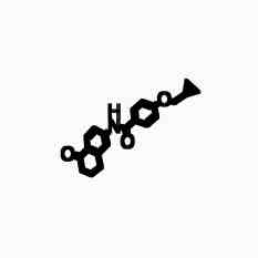 O=C(Nc1ccc2c(c1)CCCC2=O)c1ccc(OCC2CC2)cc1